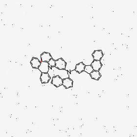 c1ccc(-c2ccccc2-n2c3ccccc3c3ccc(N(c4ccc5c(c4)-c4cccc6cc7ccccc7c-5c46)c4cccc5ccccc45)cc32)cc1